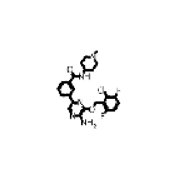 CN1CCC(NC(=O)c2cccc(-c3cnc(N)c(OCc4c(F)ccc(F)c4Cl)n3)c2)CC1